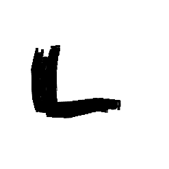 O.O.O.O.O.O.O.O.O.O.O.O.O.O.O.O.O.O.O.O.O.O.O.O.O.O.O.O.O.O.O.O.O.O.O.O.O.O.O.O.O.O.O.O.O.O.O.O.O.O.O.O.[Ti].[Ti]